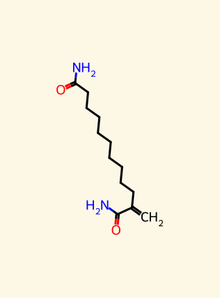 C=C(CCCCCCCCCC(N)=O)C(N)=O